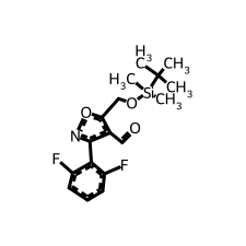 CC(C)(C)[Si](C)(C)OCc1onc(-c2c(F)cccc2F)c1C=O